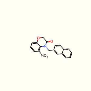 O=C1COc2cccc([N+](=O)[O-])c2N1Cc1ccc2ccccc2c1